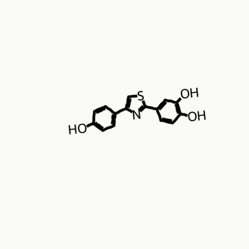 Oc1ccc(-c2csc(-c3ccc(O)c(O)c3)n2)cc1